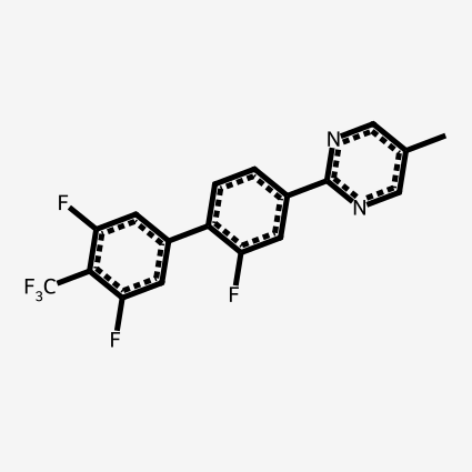 Cc1cnc(-c2ccc(-c3cc(F)c(C(F)(F)F)c(F)c3)c(F)c2)nc1